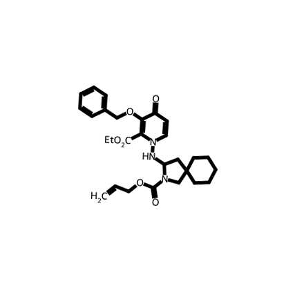 C=CCOC(=O)N1CC2(CCCCC2)CC1Nn1ccc(=O)c(OCc2ccccc2)c1C(=O)OCC